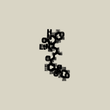 CCn1nc(C[C@@H](C)CCC(=O)c2cccc(S(=O)(=O)N3CCOCC3)c2)c2c1C(=O)NCC1(CCOCC1)C2